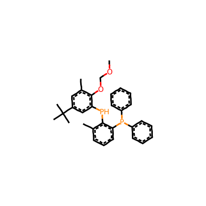 COCOc1c(C)cc(C(C)(C)C)cc1Pc1c(C)cccc1P(c1ccccc1)c1ccccc1